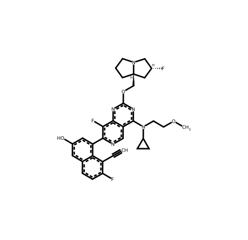 C#Cc1c(F)ccc2cc(O)cc(-c3ncc4c(N(CCOC)C5CC5)nc(OC[C@@]56CCCN5C[C@H](F)C6)nc4c3F)c12